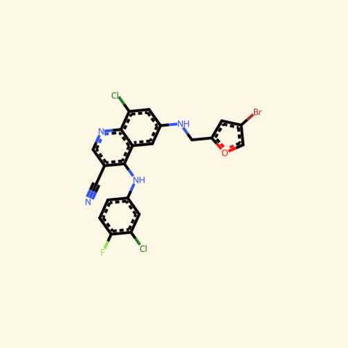 N#Cc1cnc2c(Cl)cc(NCc3cc(Br)co3)cc2c1Nc1ccc(F)c(Cl)c1